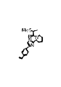 C=Cc1ccc(-c2c[nH]c(C3CCCCN3C(=O)C(C)SC)n2)cc1